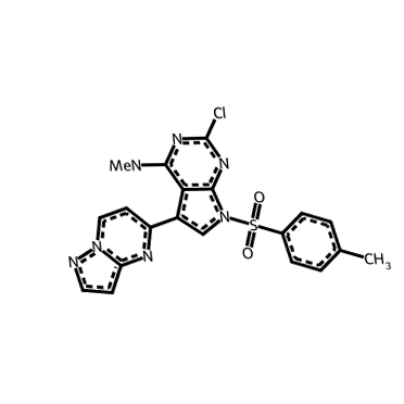 CNc1nc(Cl)nc2c1c(-c1ccn3nccc3n1)cn2S(=O)(=O)c1ccc(C)cc1